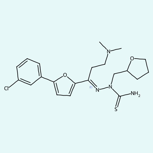 CN(C)CC/C(=N\N(CC1CCCO1)C(N)=S)c1ccc(-c2cccc(Cl)c2)o1